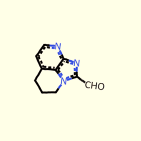 O=Cc1nc2nccc3c2n1CCC3